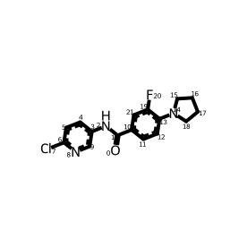 O=C(Nc1ccc(Cl)nc1)c1ccc(N2CCCC2)c(F)c1